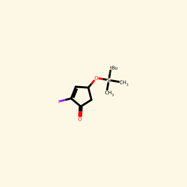 CC(C)(C)[Si](C)(C)OC1C=C(I)C(=O)C1